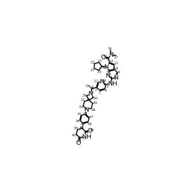 C[C@@H](c1ccc(Nc2ncc3cc(C(=O)N(C)C)n(C4CCCC4)c3n2)nc1)N1CC2(CCN(c3ccc([C@@H]4CCC(=O)NC4=O)cc3)CC2)C1